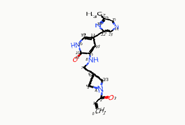 C=CC(=O)N1CC(CNc2cc(-c3cncc(C)n3)c[nH]c2=O)C1